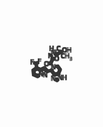 CC(C)(O)c1nnc(C(=O)N2CCc3[nH]cnc3C2c2cc3c(C(F)F)cccn3n2)o1